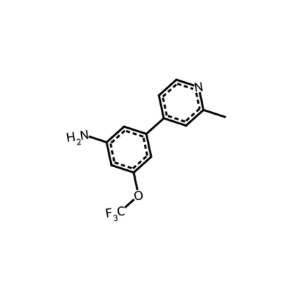 Cc1cc(-c2cc(N)cc(OC(F)(F)F)c2)ccn1